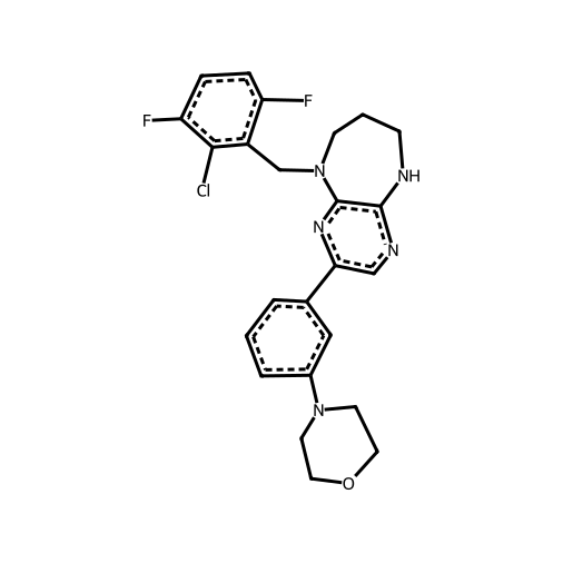 Fc1ccc(F)c(CN2CCCNc3ncc(-c4cccc(N5CCOCC5)c4)nc32)c1Cl